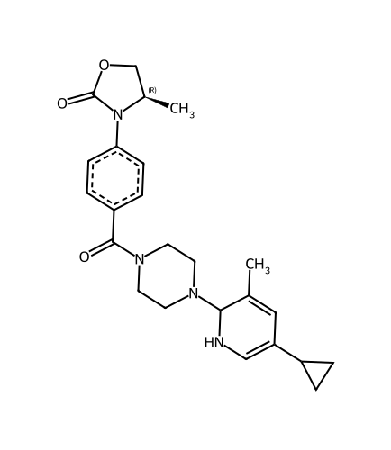 CC1=CC(C2CC2)=CNC1N1CCN(C(=O)c2ccc(N3C(=O)OC[C@H]3C)cc2)CC1